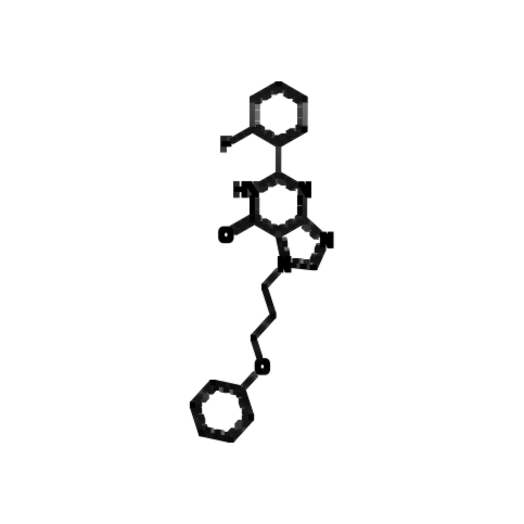 O=c1[nH]c(-c2ccccc2F)nc2ncn(CCCOc3ccccc3)c12